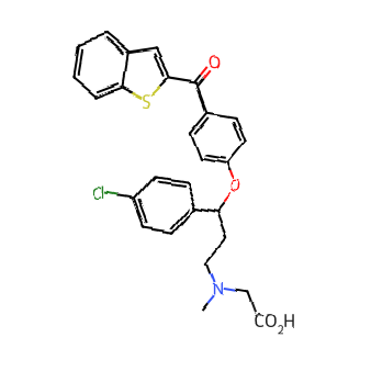 CN(CCC(Oc1ccc(C(=O)c2cc3ccccc3s2)cc1)c1ccc(Cl)cc1)CC(=O)O